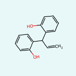 C=CC(c1ccccc1O)c1ccccc1O